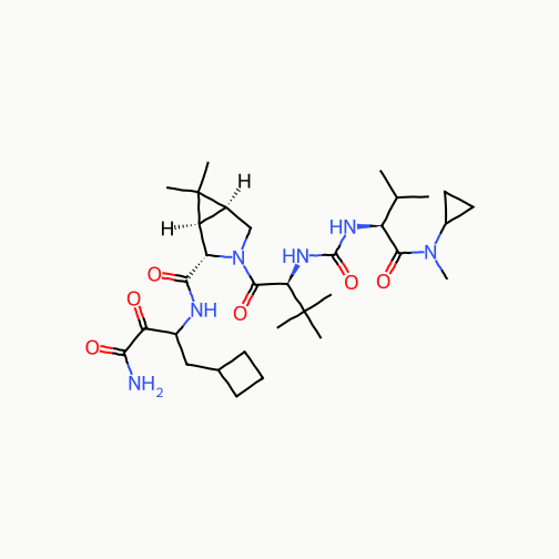 CC(C)[C@H](NC(=O)N[C@H](C(=O)N1C[C@H]2[C@@H]([C@H]1C(=O)NC(CC1CCC1)C(=O)C(N)=O)C2(C)C)C(C)(C)C)C(=O)N(C)C1CC1